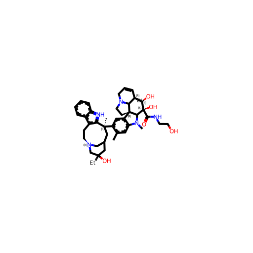 CCC1(O)CC2C[N@](CCc3c([nH]c4ccccc34)[C@@](C)(c3cc4c(cc3C)N(C)C3[C@]45CCN4CC=C[C@](CC)(C45)[C@@H](O)[C@]3(O)C(=O)NCCO)C2)C1